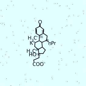 CCC[C@@H]1CC2=CC(=O)C=C[C@]2(C)C2CC[C@@]3(C)C(CC[C@@]3(O)CCC(=O)[O-])C21.[K+]